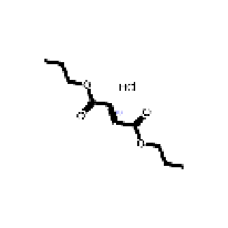 CCCOC(=O)/C=C/C(=O)OCCC.Cl